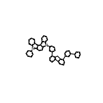 c1ccc(-c2cccc(-c3cccc4c3Cc3c(-c5cccc(-n6c7ccccc7c7c8c9ccccc9n(-c9ccccc9)c8ccc76)c5)cccc3-4)c2)cc1